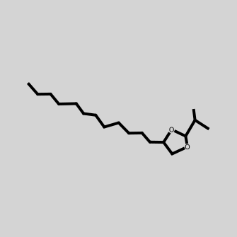 CCCCCCCCCCCCC1COC(C(C)C)O1